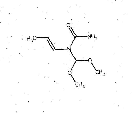 CC=CN(C(N)=O)C(OC)OC